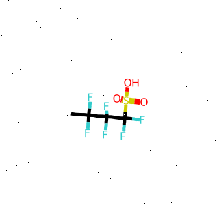 CC(F)(F)C(F)(F)C(F)(F)S(=O)(=O)O